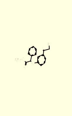 COC(=O)C(Oc1cccc(C(=O)CBr)c1)c1ccccc1